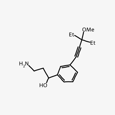 CCC(C#Cc1cccc(C(O)CCN)c1)(CC)OC